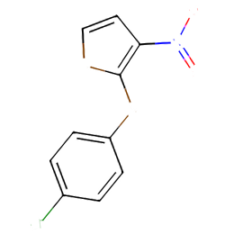 O=[N+]([O-])c1c[c]sc1Sc1ccc(Cl)cc1